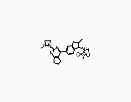 CC1Cc2cc(-c3nc(N4CC[C@@H]4C)nc4c3CCC4)ccc2C1NS(C)(=O)=O